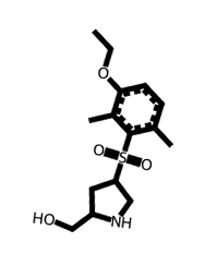 CCOc1ccc(C)c(S(=O)(=O)C2CNC(CO)C2)c1C